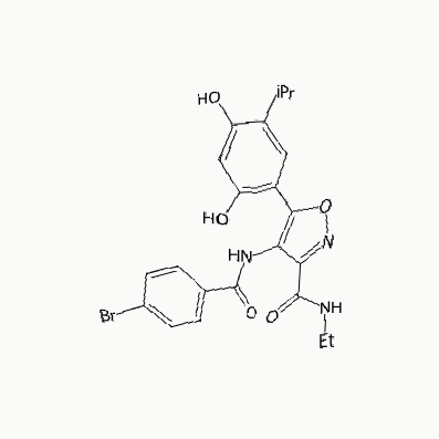 CCNC(=O)c1noc(-c2cc(C(C)C)c(O)cc2O)c1NC(=O)c1ccc(Br)cc1